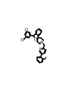 Fc1ccccc1-c1ccc(CN2CCC3(CC2)OC(c2cc(Cl)cc(Cl)c2)c2ccccc23)nc1